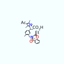 CC[C@@H]1CN(Cc2cc(C(CC(=O)O)c3c(C)c(C(C)=O)c(C)n3C)ccc2C)[S+]([O-])c2ccccc2O1